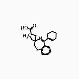 CCC1(CCC(=O)O)CSc2ccccc2C(C2=CCCCC2)=N1